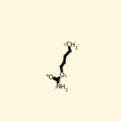 [CH2]CCCCOC(N)=O